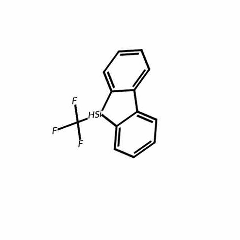 FC(F)(F)[SiH]1c2ccccc2-c2ccccc21